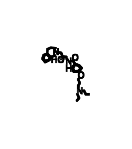 CCCN(CCC)CCCOc1ccc(C(=O)NC[C@H](O)CN2CCCc3ccccc3C2)cc1